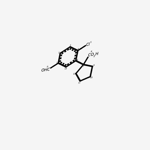 O=Cc1ccc(Cl)c(C2(C(=O)O)CCCC2)c1